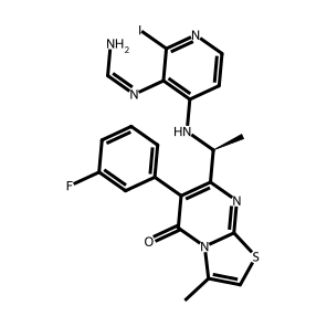 Cc1csc2nc([C@H](C)Nc3ccnc(I)c3/N=C\N)c(-c3cccc(F)c3)c(=O)n12